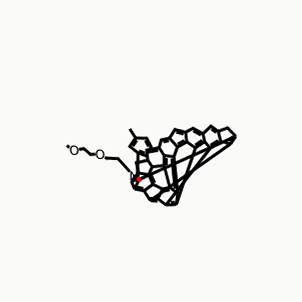 COCCOCCN1CC2C3=c4c5c6c7c8c9c(cc%10cc%11cc%12cc%13c%14c(c4c6c4c%14c%12c6c%11c%10c9c7c64)=C(C3)C%13)=CC3CC2(C=5C83)C1c1cccc(C)c1